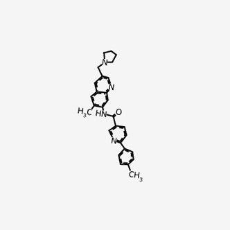 Cc1ccc(-c2ccc(C(=O)Nc3cc4ncc(CN5CCCC5)cc4cc3C)cn2)cc1